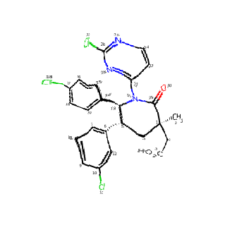 C[C@]1(CC(=O)O)C[C@H](c2cccc(Cl)c2)[C@@H](c2ccc(Cl)cc2)N(c2ccnc(Cl)n2)C1=O